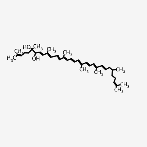 CC(C)=CCCC(C)C/C=C/C(C)=C/C=C/C(C)=C/C=C/C=C(C)/C=C/C=C(C)/C=C/C(O)C(C)(O)CCC=C(C)C